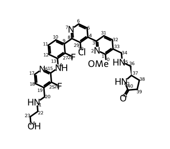 COc1nc(-c2ccnc(-c3cccc(Nc4nccc(CNCCO)c4F)c3F)c2Cl)ccc1CNC[C@H]1CCC(=O)N1